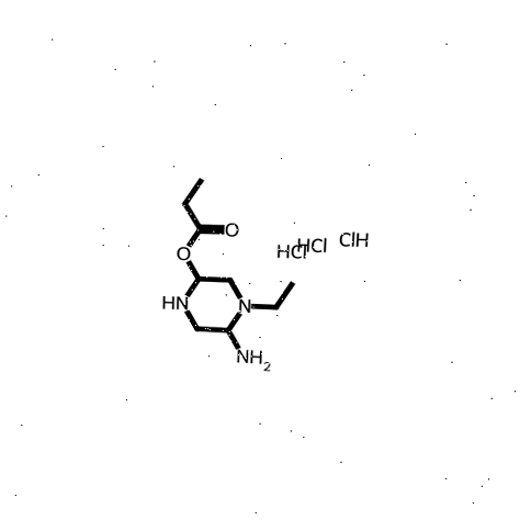 CCC(=O)OC1CN(CC)C(N)CN1.Cl.Cl.Cl